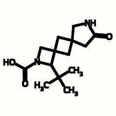 CC(C)(C)C1N(C(=O)O)CC12CC1(CNC(=O)C1)C2